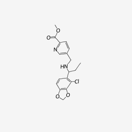 CCC(NCc1ccc(C(=O)OC)nc1)c1ccc2c(c1Cl)OCO2